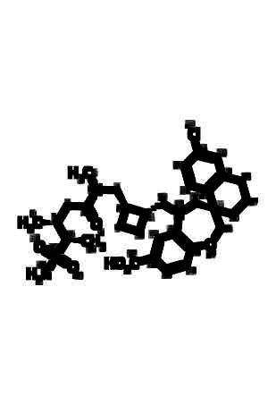 C[C@H](CC(=O)N(C)C[C@@H]1CC[C@H]1CN1C[C@@]2(CCCc3cc(Cl)ccc32)COc2ccc(C(=O)O)cc21)[C@H](C)S(N)(=O)=O